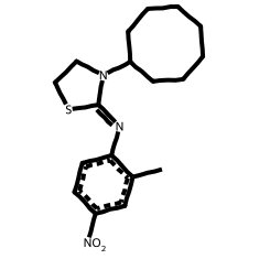 Cc1cc([N+](=O)[O-])ccc1N=C1SCCN1C1CCCCCCC1